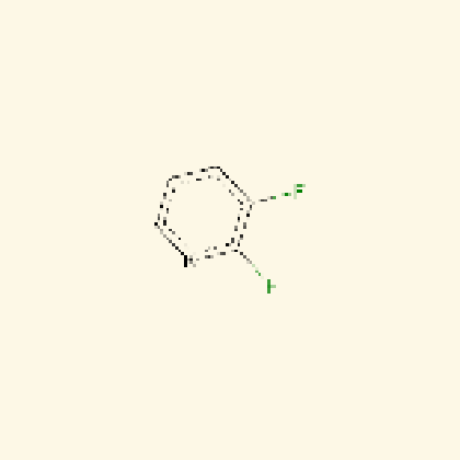 Fc1bcccc1F